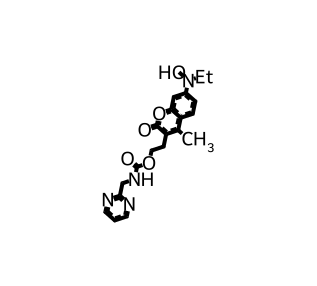 CCN(O)c1ccc2c(C)c(CCOC(=O)NCc3ncccn3)c(=O)oc2c1